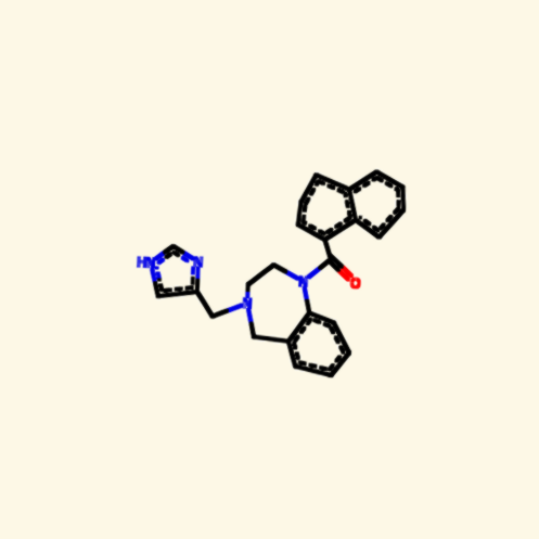 O=C(c1cccc2ccccc12)N1CCN(Cc2c[nH]cn2)Cc2ccccc21